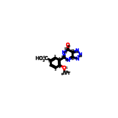 CCCOc1ccc(C(=O)O)cc1C1=NC(=O)C2=NN=NC2=N1